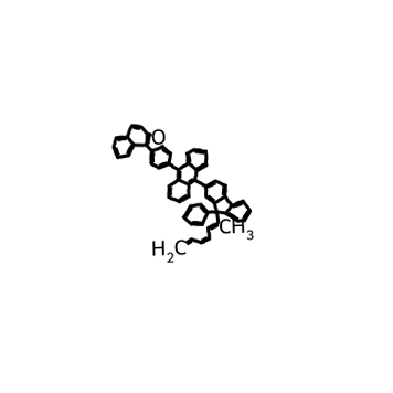 C=C/C=C\C=C(/C)C1(c2ccccc2)c2ccccc2-c2ccc(-c3c4ccccc4c(-c4ccc5c(c4)oc4ccc6ccccc6c45)c4ccccc34)cc21